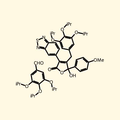 CC(C)Oc1cc(C=O)cc(OC(C)C)c1OC(C)C.COc1ccc(C2(O)OC(=O)C(c3ccc4nsnc4c3)=C2Cc2cc(OC(C)C)c(OC(C)C)c(OC(C)C)c2)cc1